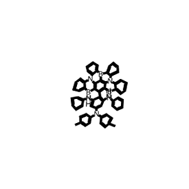 Cc1ccc(N(c2ccc(C)cc2)c2cc(Nc3ccccc3)c(-c3c4c5c6c7c3Bc3ccccc3N7c3ccccc3B6c3ccccc3N5c3ccccc3B4)c(Nc3ccccc3)c2)cc1